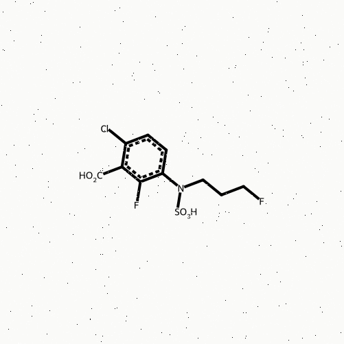 O=C(O)c1c(Cl)ccc(N(CCCF)S(=O)(=O)O)c1F